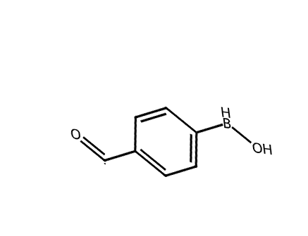 O=[C]c1ccc(BO)cc1